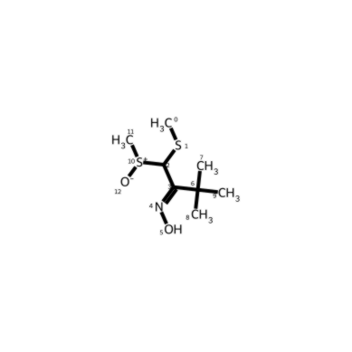 CSC(/C(=N/O)C(C)(C)C)[S+](C)[O-]